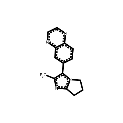 FC(F)(F)c1nc2n(c1-c1ccc3nccnc3c1)CCC2